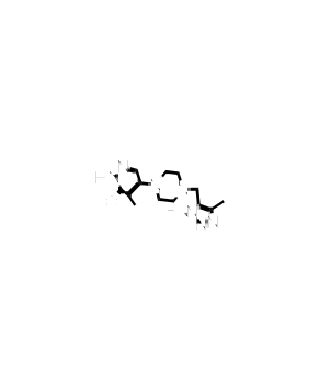 CCn1nnc(C)c1CN1CCN(c2cn[nH]c(=O)c2C)CC1